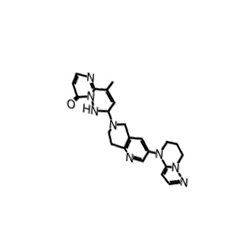 CC1=CC(N2CCc3ncc(N4CCCn5nccc54)cc3C2)Nn2c1nccc2=O